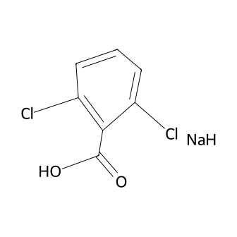 O=C(O)c1c(Cl)cccc1Cl.[NaH]